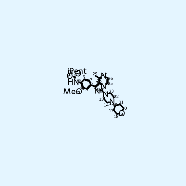 CCC[C@H](C)OC(=O)Nc1ccc(-c2nc(N3CCN(C4CCOCC4)CC3)n3ccnc(C)c23)cc1OC